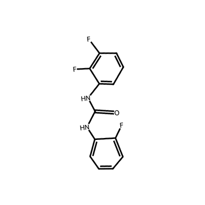 O=C(Nc1ccccc1F)Nc1cccc(F)c1F